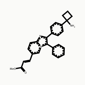 COC(=O)C=Cc1ccc2nc(-c3ccc(C4(N)CCC4)cc3)c(-c3ccccc3)n2c1